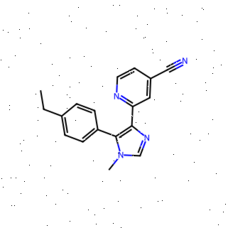 CCc1ccc(-c2c(-c3cc(C#N)ccn3)ncn2C)cc1